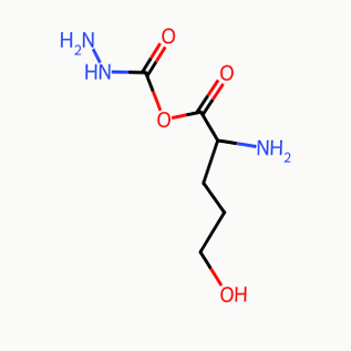 NNC(=O)OC(=O)C(N)CCCO